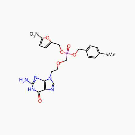 CSc1ccc(COP(=O)(COCCn2cnc3c(=O)[nH]c(N)nc32)OCc2ccc([N+](=O)[O-])o2)cc1